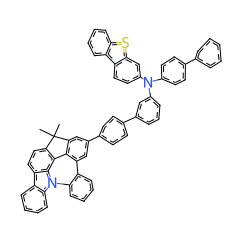 CC1(C)c2cc(-c3ccc(-c4cccc(N(c5ccc(-c6ccccc6)cc5)c5ccc6c(c5)sc5ccccc56)c4)cc3)cc3c2-c2c1ccc1c4ccccc4n(c21)-c1ccccc1-3